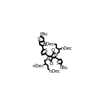 CCCCCCCCCCCCC(CCCCCCCCCC)CN1C(=O)C2=C(c3ccc(C(C)(C)C)s3)N(CC(CCCCCCCCCC)CCCCCCCCCCCC)C(=O)C2=C1c1ccc(-c2cc3sc(C(C)(C)C)cc3s2)s1